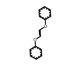 C(=COc1ccccc1)Oc1ccccc1